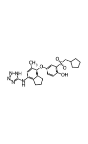 Cc1cc(Nc2nnn[nH]2)c2c(c1Oc1ccc(O)c(S(=O)(=O)CC3CCCC3)c1)CCC2